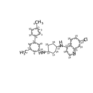 Cc1ccc(-c2cc(C)cc(NC3CCC(Nc4ccnc5cc(Cl)ccc45)CC3)c2)cc1